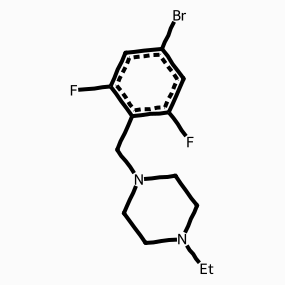 CCN1CCN(Cc2c(F)cc(Br)cc2F)CC1